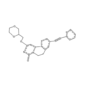 O=c1nc(OCC2COCCO2)cc2n1CCc1cc(C#Cc3ccccn3)ccc1-2